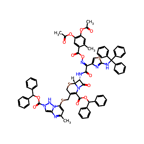 CC(=O)Oc1cc(C)c(C(=O)ON=C(C(=O)N[C@@H]2C(=O)N3C(C(=O)OC(c4ccccc4)c4ccccc4)=C(CSC4=CC(C)=NC5=CN(C(=O)OC(c6ccccc6)c6ccccc6)NN54)CS[C@H]23)c2csc(NC(c3ccccc3)(c3ccccc3)c3ccccc3)n2)cc1OC(C)=O